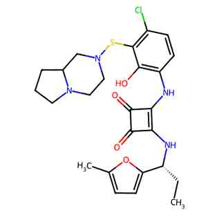 CC[C@@H](Nc1c(Nc2ccc(Cl)c(SN3CCN4CCCC4C3)c2O)c(=O)c1=O)c1ccc(C)o1